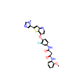 COc1ccccc1NC(=O)CC(=O)Nc1ccc(Oc2ccnc3cc(-c4cncn4C)sc23)c(F)c1